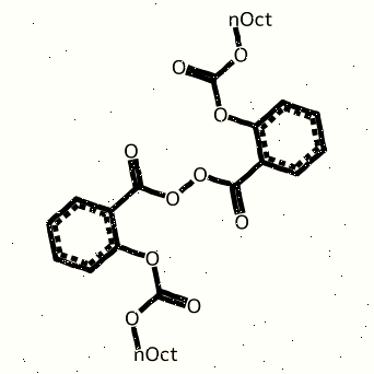 CCCCCCCCOC(=O)Oc1ccccc1C(=O)OOC(=O)c1ccccc1OC(=O)OCCCCCCCC